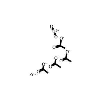 CC(=O)[O-].CC(=O)[O-].CC(=O)[O-].CC(=O)[O-].[O]=[U+2]=[O].[Zn+2]